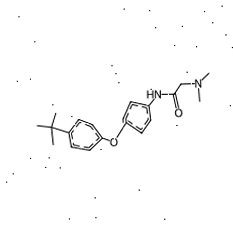 CN(C)CC(=O)Nc1ccc(Oc2ccc(C(C)(C)C)cc2)cc1